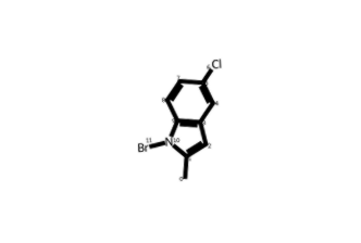 Cc1cc2cc(Cl)ccc2n1Br